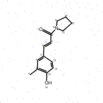 Cc1cc(/C=C/C(=O)N2CCCC2)ccc1O